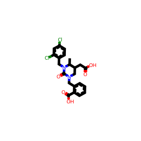 CC1C(CC(=O)O)CN(Cc2ccccc2C(=O)O)C(=O)N1Cc1ccc(Cl)cc1Cl